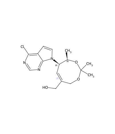 C[C@H]1OC(C)(C)OC/C(CO)=C\[C@H]1n1ccc2c(Cl)ncnc21